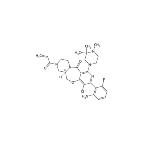 C=CC(=O)N1CCN2C(=O)c3c(N4CCN(C)C(C)(C)C4)nc(-c4c(N)cccc4F)c(Cl)c3OC[C@H]2C1